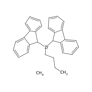 C.CCC[CH2][Zr]([CH]1c2ccccc2-c2ccccc21)[CH]1c2ccccc2-c2ccccc21